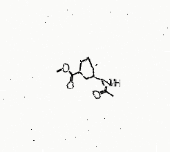 COC(=O)C1CCCC(NC(C)=O)C1